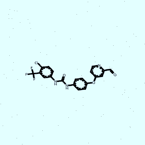 O=Cc1cc(Oc2ccc(NC(=O)Nc3ccc(Cl)c(C(F)(F)F)c3)cc2)ccn1